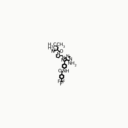 CC(C)(C)/C=C(\C#N)C(=O)N1CCCC1Cn1nc(-c2ccc(NC(=O)c3ccc(C(F)(F)F)cc3)cc2)c2c(N)ncnc21